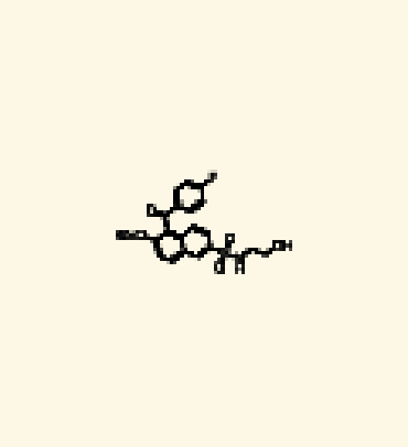 COc1ccc2cc(S(=O)(=O)NCCO)ccc2c1C(=O)c1ccc(F)cc1